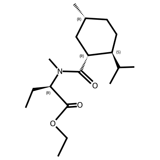 CCOC(=O)[C@@H](CC)N(C)C(=O)[C@@H]1C[C@H](C)CC[C@H]1C(C)C